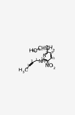 CC#CCNc1nc(C)ccc1[N+](=O)[O-].O=CO